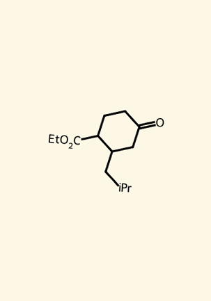 CCOC(=O)C1CCC(=O)CC1CC(C)C